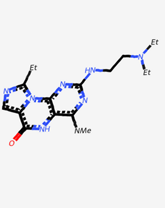 CCc1ncc2c(=O)[nH]c3c(NC)nc(NCCN(CC)CC)nc3n12